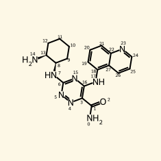 NC(=O)c1nnc(N[C@@H]2CCCC[C@@H]2N)nc1Nc1cccc2ncccc12